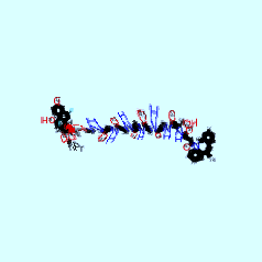 CCCC1O[C@@H]2C[C@H]3[C@@H]4C[C@H](F)C5=CC(=O)C=C[C@]5(C)[C@@]4(F)[C@@H](O)C[C@]3(C)[C@]2(C(=O)COCNC(=O)CNC(=O)CNC(=O)CNC(=O)CNC(=O)CNC(=O)[C@H](CO)NC(=O)CCC(=O)N2Cc3ccccc3/C=C(/C)c3ccccc32)O1